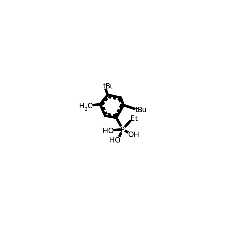 CCP(O)(O)(O)c1cc(C)c(C(C)(C)C)cc1C(C)(C)C